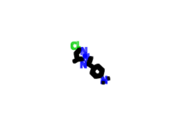 Cc1cc(Cl)nn2cc(-c3ccc(N(C)C)cc3)nc12